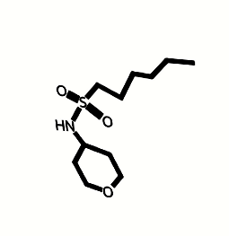 CCCCCCS(=O)(=O)NC1CCOCC1